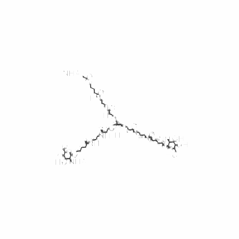 CC(=O)NCC(O)OCCCCC(=O)NCCCNC(=O)CCOCC(C)(COCCC(=O)NCCCNC(=O)CCCCOC1OC(CO)C(O)C(O)C1NC(C)=O)COCCC(=O)NCCCNC(=O)CCCCOC1OC(CO)C(O)C(O)C1NC(C)=O